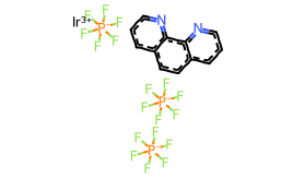 F[P-](F)(F)(F)(F)F.F[P-](F)(F)(F)(F)F.F[P-](F)(F)(F)(F)F.[Ir+3].c1cnc2c(c1)ccc1cccnc12